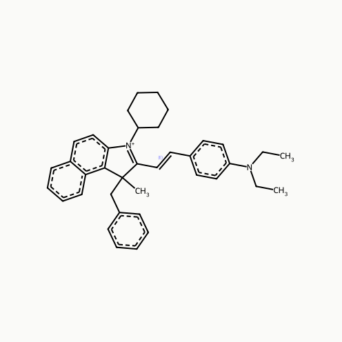 CCN(CC)c1ccc(/C=C/C2=[N+](C3CCCCC3)c3ccc4ccccc4c3C2(C)Cc2ccccc2)cc1